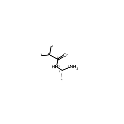 CC(C)C(=O)N[C@@H](C)N